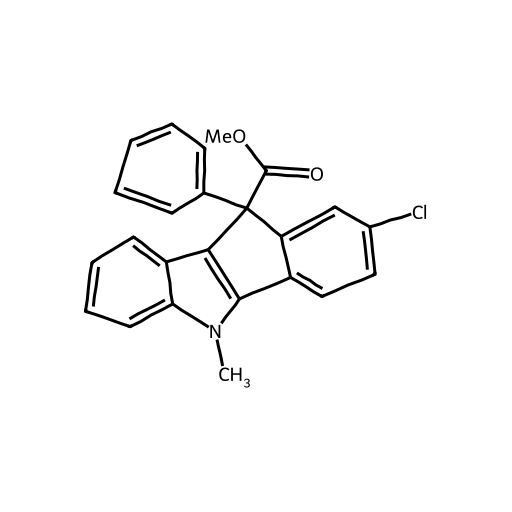 COC(=O)C1(c2ccccc2)c2cc(Cl)ccc2-c2c1c1ccccc1n2C